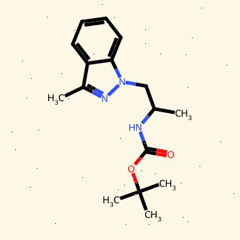 Cc1nn(CC(C)NC(=O)OC(C)(C)C)c2ccccc12